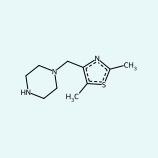 Cc1nc(CN2CCNCC2)c(C)s1